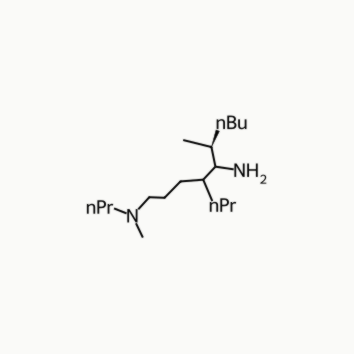 CCCC[C@H](C)C(N)C(CCC)CCCN(C)CCC